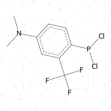 CN(C)c1ccc(P(Cl)Cl)c(C(F)(F)F)c1